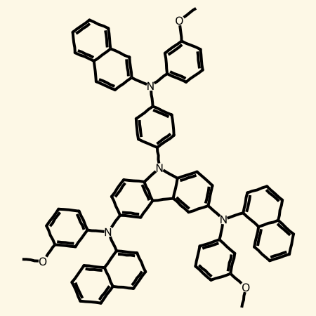 COc1cccc(N(c2ccc(-n3c4ccc(N(c5cccc(OC)c5)c5cccc6ccccc56)cc4c4cc(N(c5cccc(OC)c5)c5cccc6ccccc56)ccc43)cc2)c2ccc3ccccc3c2)c1